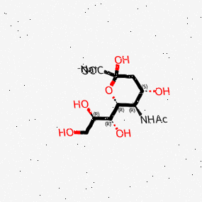 CC(=O)N[C@H]1[C@H]([C@H](O)[C@H](O)CO)OC(O)(C(=O)[O-])C[C@@H]1O.[Na+]